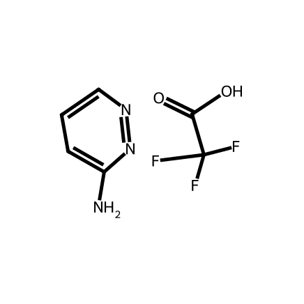 Nc1cccnn1.O=C(O)C(F)(F)F